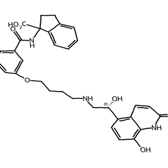 O=C(NC1(C(=O)O)CCc2ccccc21)c1cccc(OCCCCNC[C@H](O)c2ccc(O)c3[nH]c(=O)ccc23)c1